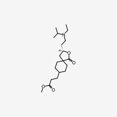 CCN(CC[C@H]1CC2(CCC(CCC(=O)OC)CC2)C(=O)O1)C(C)C